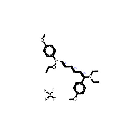 CCO[C+](/C=C/C=C/C=C(\c1ccc(OC)cc1)N(CC)CC)c1ccc(OC)cc1.F[B-](F)(F)F